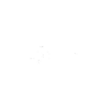 C#CCOCCCc1ccc(C(=O)OC)c(C(=O)OC)c1